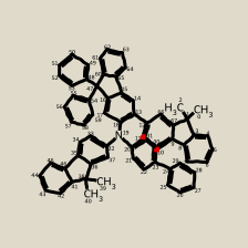 CC1(C)c2ccccc2-c2ccc(-c3cc4c(cc3N(c3ccc(-c5ccccc5)cc3)c3ccc5c(c3)C(C)(C)c3ccccc3-5)C(c3ccccc3)(c3ccccc3)c3ccccc3-4)cc21